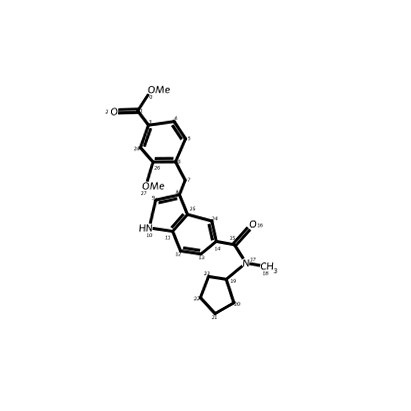 COC(=O)c1ccc(Cc2c[nH]c3ccc(C(=O)N(C)C4CCCC4)cc23)c(OC)c1